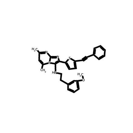 COc1cccc(CCNc2c(-c3ccc(C#Cc4ccccc4)s3)nc3nc(C)cc(C)n23)c1